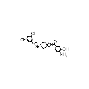 Nc1ccc(C(=O)N2CC3(CCN(C(=O)OCc4cc(Cl)cc(Cl)c4)CC3)C2)cc1O